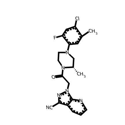 Cc1cc(N2CCN(C(=O)Cn3nc(C#N)c4cccnc43)[C@@H](C)C2)c(F)cc1Cl